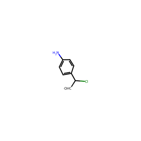 Nc1ccc(C(Cl)[C]=O)cc1